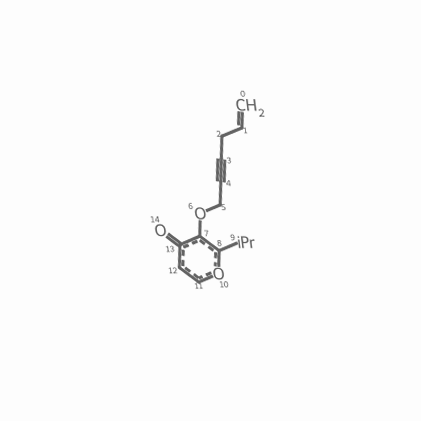 C=CCC#CCOc1c(C(C)C)occc1=O